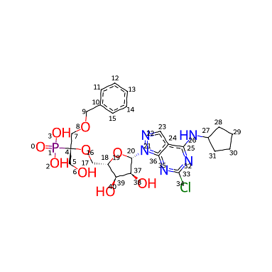 O=P(O)(O)[C@](CO)(COCc1ccccc1)OC[C@@H]1O[C@H](n2ncc3c(NC4CCCC4)nc(Cl)nc32)[C@@H](O)[C@H]1O